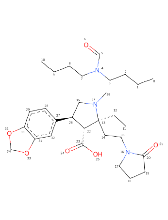 CCCCN(C=O)CCCC.CC[C@]1(CCN2CCCC2=O)[C@H](C(=O)O)[C@@H](c2ccc3c(c2)OCO3)CN1C